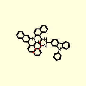 c1ccc(-c2nc(-c3ccc4c5ccccc5n(-c5ccccc5)c4c3)nc(-c3c(N4c5cc6ccccc6cc5-c5cccc6cccc4c56)ccc4ccccc34)n2)cc1